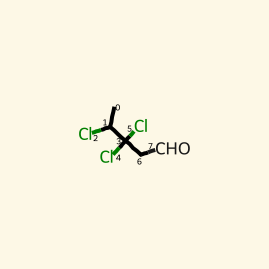 CC(Cl)C(Cl)(Cl)CC=O